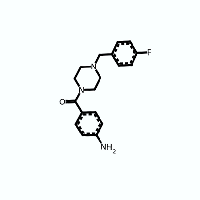 Nc1ccc(C(=O)N2CCN(Cc3ccc(F)cc3)CC2)cc1